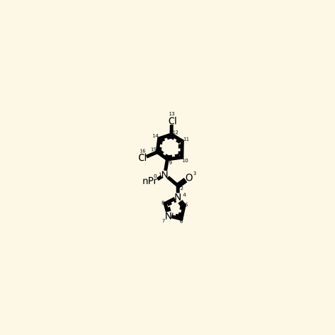 CCCN(C(=O)n1ccnc1)c1ccc(Cl)cc1Cl